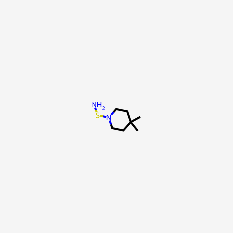 CC1(C)CCN(SN)CC1